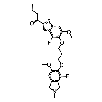 CCCC(=O)c1cc2c(F)c(OCCCOc3c(OC)cc4c(c3F)CN(C)C4)c(OC)cc2s1